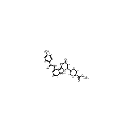 Cc1ccc(C(=O)Nc2cccc3nn4c(C5CCN(C(=O)OC(C)(C)C)CC5)cc(=O)[nH]c4c23)cc1